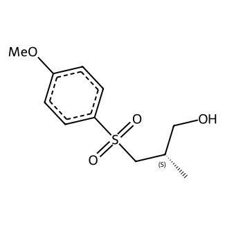 COc1ccc(S(=O)(=O)C[C@@H](C)CO)cc1